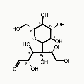 O=C[C@@H](O)[C@@H](O)[C@@](O)(C1O[C@H](CO)[C@@H](O)[C@H](O)[C@H]1O)[C@H](O)CO